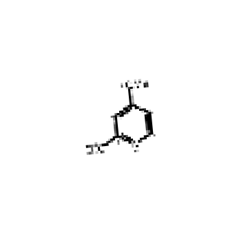 COc1ccnc(C(Cl)(Cl)Cl)c1